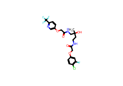 CC(O)(CCNC(=O)COc1ccc(Cl)c(F)c1)CNC(=O)COc1ccc(C(F)(F)F)nc1